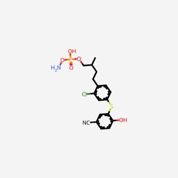 CC(CCc1ccc(Sc2cc(C#N)ccc2O)cc1Cl)COP(=O)(O)ON